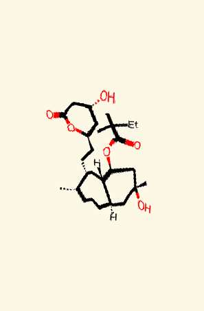 CCC(C)(C)C(=O)O[C@H]1C[C@](C)(O)C[C@H]2CC[C@H](C)[C@H](CC[C@@H]3C[C@@H](O)CC(=O)O3)[C@@H]21